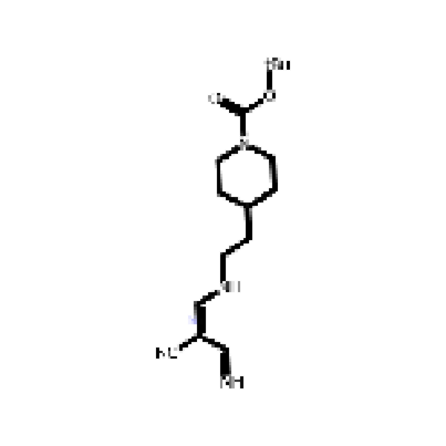 CC(C)(C)OC(=O)N1CCC(CCN/C=C(/C#N)C=N)CC1